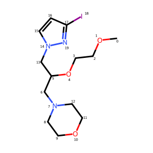 COCCOC(CN1CCOCC1)Cn1ccc(I)n1